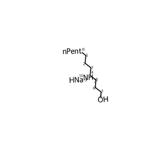 CCCCCCCCCCCCO.N.[NaH]